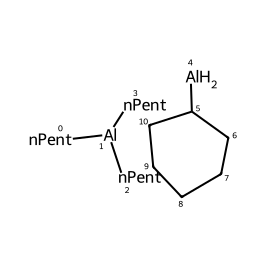 CCCC[CH2][Al]([CH2]CCCC)[CH2]CCCC.[AlH2][CH]1CCCCC1